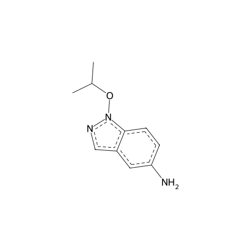 CC(C)On1ncc2cc(N)ccc21